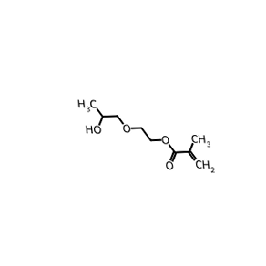 C=C(C)C(=O)OCCOCC(C)O